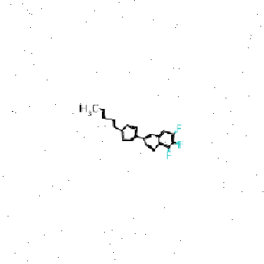 CC=CCCc1ccc(-c2ccc3c(F)c(F)c(F)cc3c2)cc1